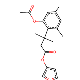 CC(=O)Oc1cc(C)cc(C)c1C(C)(C)CC(=O)Oc1ccoc1